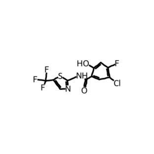 O=C(Nc1ncc(C(F)(F)F)s1)c1cc(Cl)c(F)cc1O